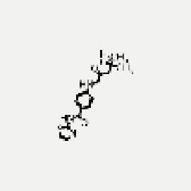 CC(C)(C)CC(=O)CNc1ccc(C(=O)Nc2nccs2)cc1